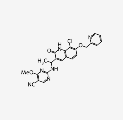 COc1nc(NC(C)c2cc3ccc(OCc4ccccn4)c(Cl)c3[nH]c2=O)ncc1C#N